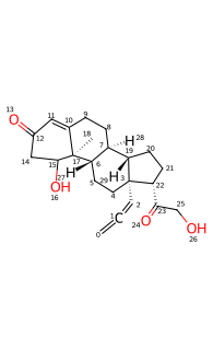 C=C=C[C@]12CC[C@H]3[C@@H](CCC4=CC(=O)CC(O)[C@@]43C)[C@@H]1CC[C@@H]2C(=O)CO